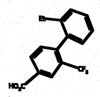 CCc1ccccc1-c1ccc(C(=O)O)cc1C(F)(F)F